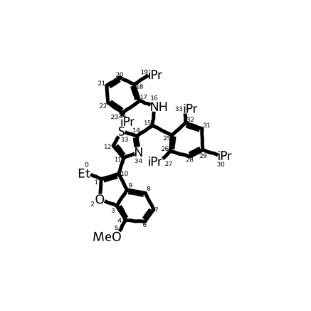 CCc1oc2c(OC)cccc2c1-c1csc(C(Nc2c(C(C)C)cccc2C(C)C)c2c(C(C)C)cc(C(C)C)cc2C(C)C)n1